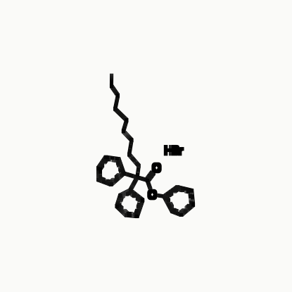 Br.CCCCCCCCCC(C(=O)Oc1ccccc1)(c1ccccc1)c1ccccc1